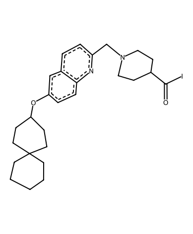 O=C(I)C1CCN(Cc2ccc3cc(OC4CCC5(CCCCC5)CC4)ccc3n2)CC1